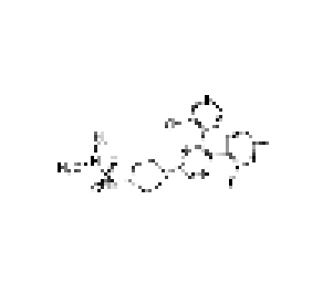 CN(C)S(=O)(=O)NC1CCN(c2cnc(-c3ccc(F)cc3F)c(-c3ccncc3Cl)n2)CC1